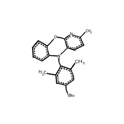 Cc1ccc2c(n1)Oc1ccccc1N2c1c(C)cc(C(C)(C)C)cc1C